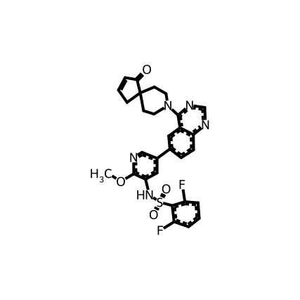 COc1ncc(-c2ccc3ncnc(N4CCC5(CC=CC5=O)CC4)c3c2)cc1NS(=O)(=O)c1c(F)cccc1F